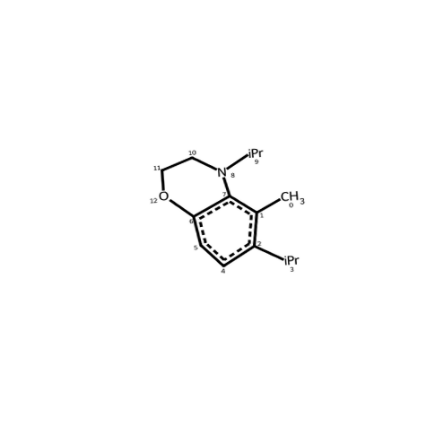 Cc1c(C(C)C)ccc2c1N(C(C)C)CCO2